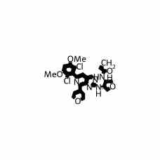 C=CC(O)N[C@H]1COC[C@H]1Nc1ncc2cc(-c3c(Cl)c(OC)cc(OC)c3Cl)nc(C3=CCOCC3)c2n1